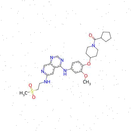 COc1cc(Nc2ncnc3cnc(NCCS(C)(=O)=O)cc23)ccc1OC1CCN(C(=O)C2CCCC2)CC1